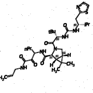 C=CCNC(=O)C(=O)C(CCC)NC(=O)[C@@H]1[C@@H]2[C@H](CN1C(=O)[C@@H](NC(=O)N[C@H](Cc1nccs1)C(C)C)C(C)(C)C)C2(C)C